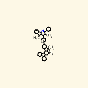 CC/C=C(\C=C/CC1CCC2C3C4C5=C(CCC=C5)C5(CCCCC5)C4CCC3C(C)(C)C2C1)C1C(C)C(C2=CCCC=C2)N=C2C3C=CC=CC3C(C)C21